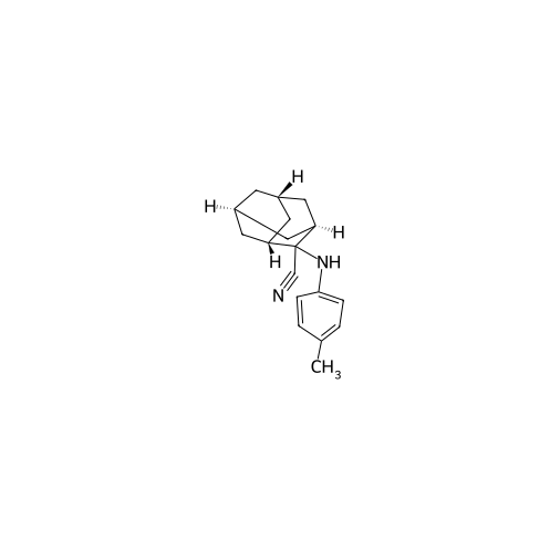 Cc1ccc(NC2(C#N)[C@H]3C[C@@H]4C[C@@H](C[C@H]2C4)C3)cc1